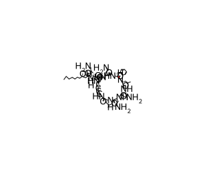 CCCCCCC[C@@H](O)CC(=O)N[C@H](CCCN)C(=O)N[C@H]1CCCCNC(=O)[C@H](CC(C)C)NC(=O)[C@H](CCN)NC(=O)[C@H](CCN)NC(=O)[C@H](CC(C)C)NC(=O)[C@@H](Cc2ccccc2)NC(=O)[C@H](CCN)NC1=O